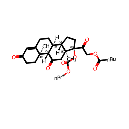 CCCCC(=O)OCC(=O)[C@@]1(OC(=O)OCCC)CC[C@H]2[C@@H]3CCC4=CC(=O)CC[C@]4(C)[C@H]3C(=O)C[C@@]21C